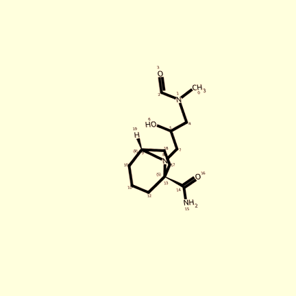 CN(C=O)CC(O)CN1[C@@H]2C[CH]C[C@@]1(C(N)=O)CC2